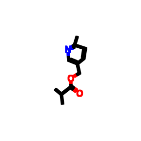 Cc1ccc(COC(=O)C(C)C)cn1